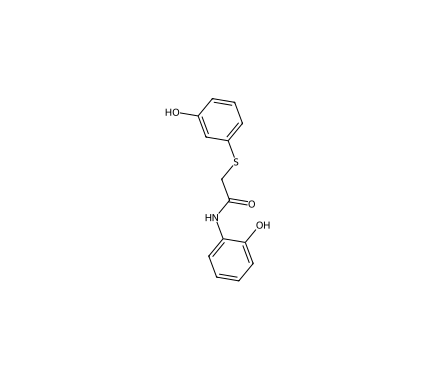 O=C(CSc1cccc(O)c1)Nc1ccccc1O